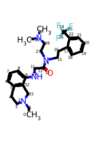 CCN1CCc2cccc(NCC(=O)N(CCc3ccccc3C(F)(F)F)CCN(C)C)c2C1